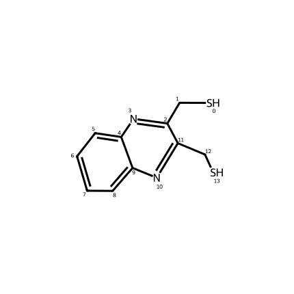 SCc1nc2ccccc2nc1CS